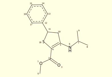 COC(=O)C1=C(NC(C)C)CC(c2ccccc2)S1